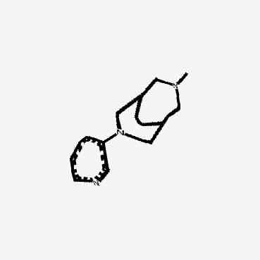 CN1CC2CC(C1)CN(c1cccnc1)C2